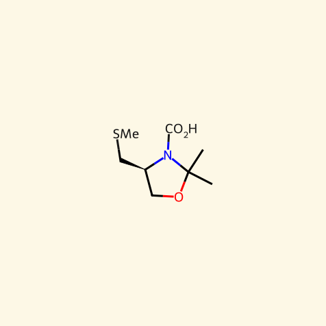 CSC[C@@H]1COC(C)(C)N1C(=O)O